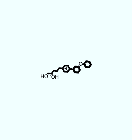 OC[C@@H](O)CCCC12CCC(c3cccc(Oc4ccccc4)c3)(CC1)OC2